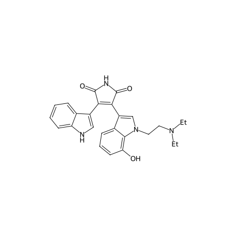 CCN(CC)CCn1cc(C2=C(c3c[nH]c4ccccc34)C(=O)NC2=O)c2cccc(O)c21